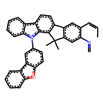 C=Nc1cc2c(cc1/C=C\C)-c1ccc3c4ccccc4n(-c4ccc5oc6ccccc6c5c4)c3c1C2(C)C